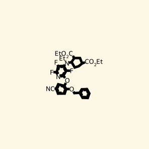 CCOC(=O)C1CCC(N(CC)c2c(F)c(F)nc(Oc3cc(C#N)ccc3OCc3ccccc3)c2F)C(C(=O)OCC)C1